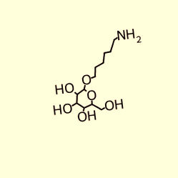 NCCCCCCOC1OC(CO)C(O)C(O)C1O